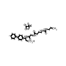 C=CCNC(=O)NCCCC(=O)NCC(=O)NC(CC(=O)O)c1ccc(-c2ccccc2)cc1.O=C(O)C(F)(F)F